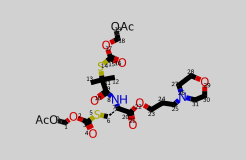 CC(=O)OCOC(=O)SC[C@H](NC(=O)C(C)(C)SC(=O)OCOC(C)=O)C(=O)OCCCN1CCOCC1